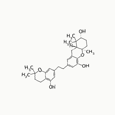 CC1(C)CCc2c(O)cc(CCc3cc(O)c4c(c3)C[C@@H]3C(C)(C)[C@H](O)CC[C@@]3(C)O4)cc2O1